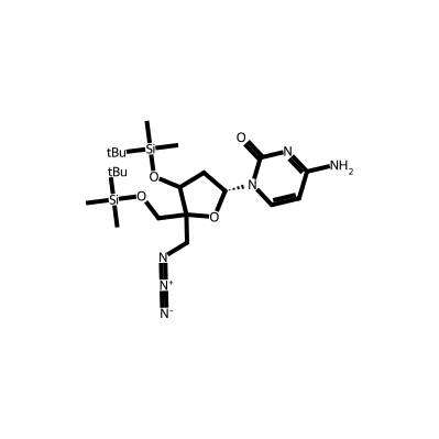 CC(C)(C)[Si](C)(C)OCC1(CN=[N+]=[N-])O[C@@H](n2ccc(N)nc2=O)CC1O[Si](C)(C)C(C)(C)C